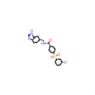 O=C(NCc1ccc2nc[nH]c2c1)c1ccc(S(=O)(=O)c2cccc(Cl)c2)cc1